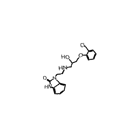 O=c1[nH]c2ccccc2n1CCNCC(O)COc1ccccc1Cl